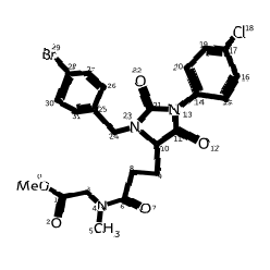 COC(=O)CN(C)C(=O)CCC1C(=O)N(c2ccc(Cl)cc2)C(=O)N1Cc1ccc(Br)cc1